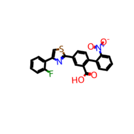 O=C(O)c1cc(-c2nc(-c3ccccc3F)cs2)ccc1-c1ccccc1[N+](=O)[O-]